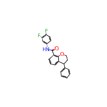 O=C(Nc1ccc(F)c(F)c1)c1cccc2c1OCCC2c1ccccc1